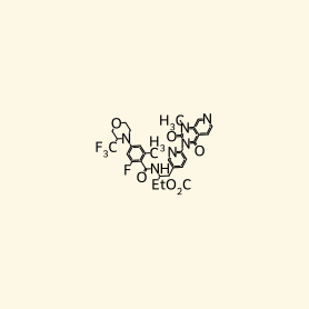 CCOC(=O)[C@H](Cc1ccc(-n2c(=O)c3ccncc3n(C)c2=O)nc1)NC(=O)c1c(C)cc(N2CCOC[C@@H]2C(F)(F)F)cc1F